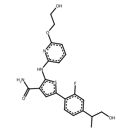 CC(CO)c1ccc(-c2cc(C(N)=O)c(Nc3cccc(OCCO)n3)s2)c(F)c1